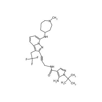 CN1CCCC(Nc2cccc3c(CC(F)(F)F)c(C#CCNC(=O)c4cnn(C(C)(C)C)c4N)nn23)CC1